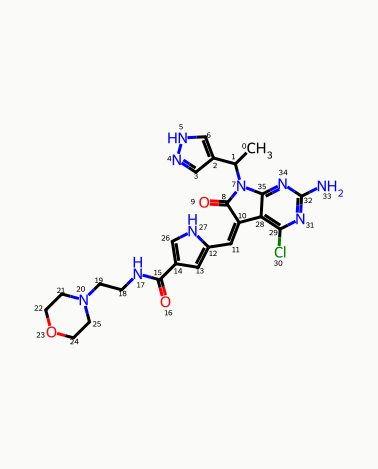 CC(c1cn[nH]c1)N1C(=O)/C(=C\c2cc(C(=O)NCCN3CCOCC3)c[nH]2)c2c(Cl)nc(N)nc21